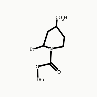 CCC1CC(C(=O)O)CCN1C(=O)OC(C)(C)C